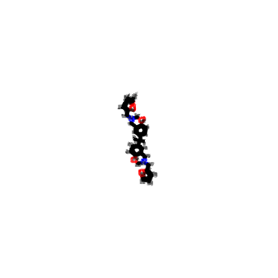 CC(C)(c1ccc2c(c1)CN(Cc1ccco1)CO2)c1ccc2c(c1)CN(Cc1ccco1)CO2